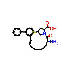 N[C@H]1CCCCC/C=C/CS[C@@]2(c3ccc(-c4ccccc4)cc3)C[C@@H](C(=O)O)N(C2)C1=O